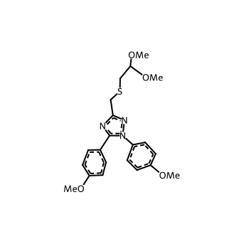 COc1ccc(-c2nc(CSCC(OC)OC)nn2-c2ccc(OC)cc2)cc1